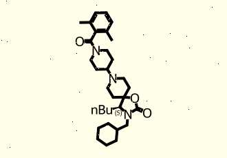 CCCC[C@@H]1N(CC2CCCCC2)C(=O)OC12CCN(C1CCN(C(=O)c3c(C)cccc3C)CC1)CC2